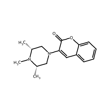 C[C@@H]1CN(c2cc3ccccc3oc2=O)C[C@H](C)N1C